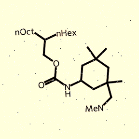 CCCCCCCCC(CCCCCC)COC(=O)NC1CC(C)(C)CC(C)(CNC)C1